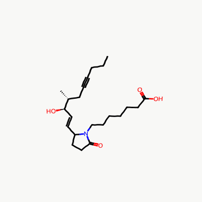 CCCC#CC[C@@H](C)[C@H](O)C=CC1CCC(=O)N1CCCCCCC(=O)O